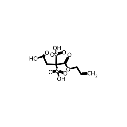 C=CCOC(=O)C(CC(=O)O)(S(=O)(=O)O)S(=O)(=O)O